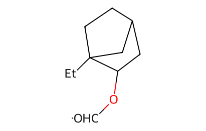 CCC12CCC(CC1O[C]=O)C2